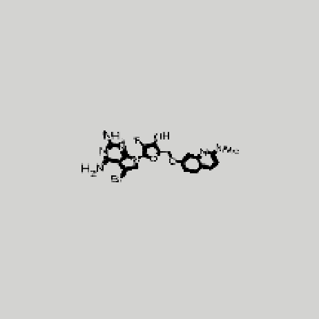 CNc1ccc2ccc(OC[C@H]3O[C@@H](n4cc(Br)c5c(N)nc(N)nc54)[C@@H](F)[C@@H]3O)cc2n1